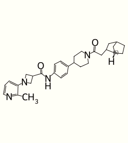 Cc1ncccc1N1CC(C(=O)Nc2ccc(C3CCN(C(=O)CC4CC5CC[C@H]4C5)CC3)cc2)C1